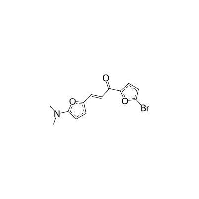 CN(C)c1ccc(C=CC(=O)c2ccc(Br)o2)o1